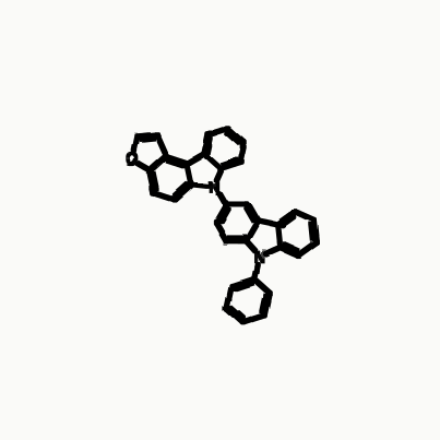 c1ccc(-n2c3ccccc3c3cc(-n4c5ccccc5c5c6ccoc6ccc54)ccc32)cc1